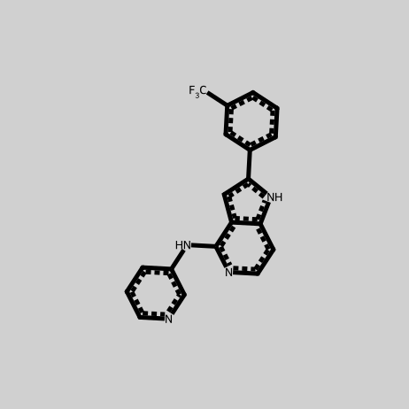 FC(F)(F)c1cccc(-c2cc3c(Nc4cccnc4)nccc3[nH]2)c1